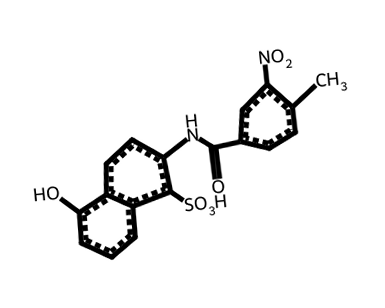 Cc1ccc(C(=O)Nc2ccc3c(O)cccc3c2S(=O)(=O)O)cc1[N+](=O)[O-]